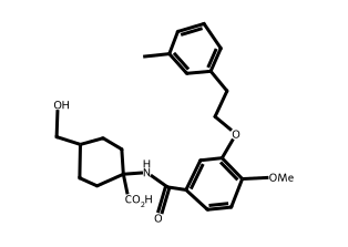 COc1ccc(C(=O)NC2(C(=O)O)CCC(CO)CC2)cc1OCCc1cccc(C)c1